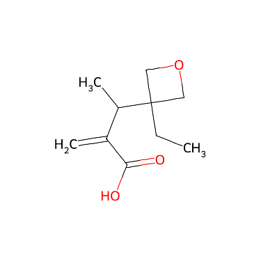 C=C(C(=O)O)C(C)C1(CC)COC1